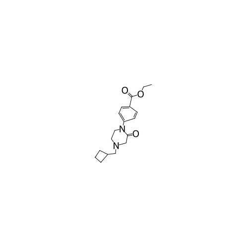 CCOC(=O)c1ccc(N2CCN(CC3CCC3)CC2=O)cc1